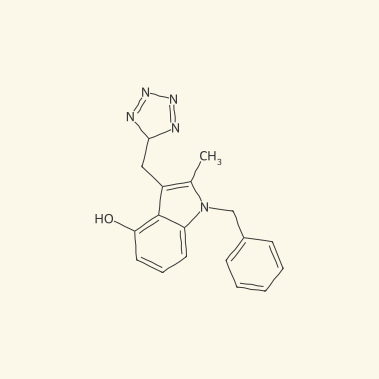 Cc1c(CC2N=NN=N2)c2c(O)cccc2n1Cc1ccccc1